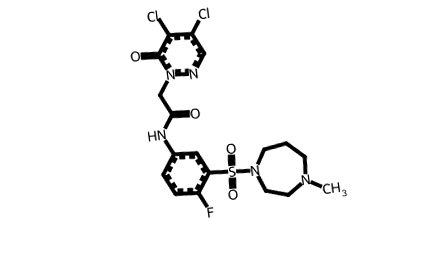 CN1CCCN(S(=O)(=O)c2cc(NC(=O)Cn3ncc(Cl)c(Cl)c3=O)ccc2F)CC1